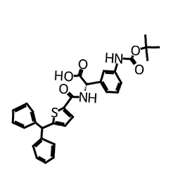 CC(C)(C)OC(=O)Nc1cccc([C@H](NC(=O)c2ccc(C(c3ccccc3)c3ccccc3)s2)C(=O)O)c1